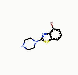 Brc1cccc2sc(N3CCNCC3)nc12